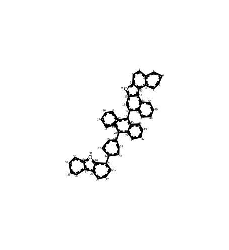 c1ccc2c(c1)ccc1oc3cc(-c4c5ccccc5c(-c5ccc(-c6cccc7c6oc6ccccc67)cc5)c5ccccc45)c4ccccc4c3c12